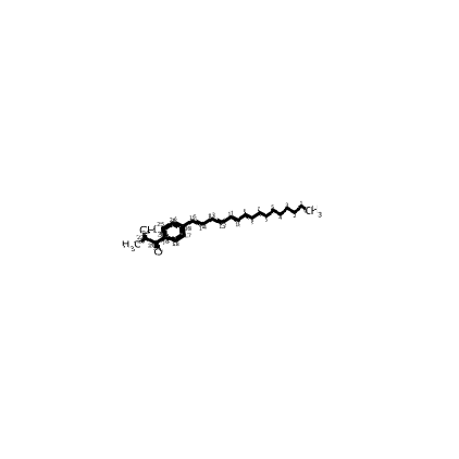 CCCCCCCCCCCCCCCCc1ccc(C(=O)C(C)C)cc1